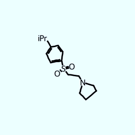 CC(C)c1ccc(S(=O)(=O)CCN2CCCC2)cc1